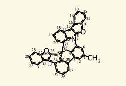 Cc1cc2c3c(c1)-n1c4oc5ccccc5c4c4cccc(c41)B3n1c3oc4ccccc4c3c3cccc-2c31